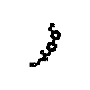 CCOc1cccc(-c2ccc(CC(=O)NCCC#N)cn2)c1